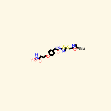 CC(C)(C)c1cnc(CSc2cnc(NC(=O)Cc3ccc(OCCCC(=O)NO)cc3)s2)o1